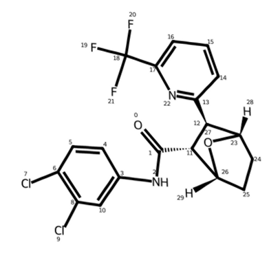 O=C(Nc1ccc(Cl)c(Cl)c1)[C@@H]1[C@@H](c2cccc(C(F)(F)F)n2)[C@@H]2CC[C@H]1O2